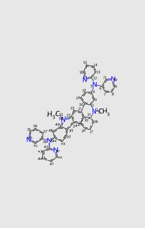 CN1c2cc(N(c3cccnc3)c3ccccn3)ccc2-c2cc3c(c4cccc1c24)c1ccc(N(c2cccnc2)c2ccccn2)cc1n3C